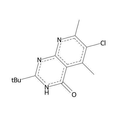 Cc1nc2nc(C(C)(C)C)[nH]c(=O)c2c(C)c1Cl